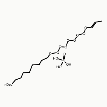 CC=COOOOOOOOOCCCCCCCCCCCCCCCCCC.O=P(O)(O)O